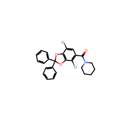 O=C(c1cc(Cl)c2c(c1Cl)OC(c1ccccc1)(c1ccccc1)O2)N1CCCCC1